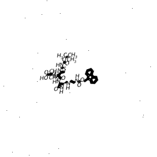 CC(C)(C)OC(=O)Nc1nc(C(=NOC(C)(C)C(=O)O)C(=O)N[C@@H]2C(=O)N[C@@H]2CNCCNC(=O)OCC2c3ccccc3-c3ccccc32)cs1